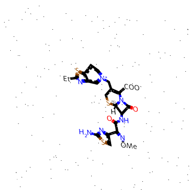 CCc1nc2c[n+](CC3=C(C(=O)[O-])N4C(=O)C(NC(=O)C(=NOC)c5csc(N)n5)[C@@H]4SC3)ccc2s1